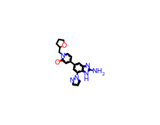 Nc1nc2cc(-c3ccn(CC4CCCO4)c(=O)c3)cc(-n3cccn3)c2[nH]1